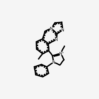 Cc1ccc2cn3ccnc3nc2c1C1=[N+](C)CCN1c1ccccc1